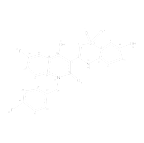 O=c1c(C2=CS(=O)(=O)c3cc(O)ccc3N2)c(O)c2cc(F)ccc2n1Cc1ccc(F)cc1